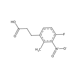 Cc1c(CCC(=O)O)ccc(F)c1[N+](=O)[O-]